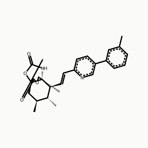 Cc1cccc(-c2ccc(/C=C/[C@H]3[C@H](C)[C@@H](C)C[C@]45OC(=O)N[C@]34[C@@H](C)OC5=O)nc2)c1